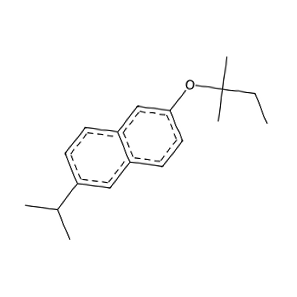 CCC(C)(C)Oc1ccc2cc(C(C)C)ccc2c1